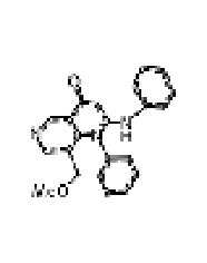 COCc1cncc2c(=O)cc(Nc3ccccc3)n(-c3ccccc3)c12